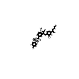 C=C(CCCC)c1ccc(Cc2c(C)[nH]c3ccc(C(=O)NS(=O)(=O)c4ccc(C)cc4)cc23)c(Cl)c1